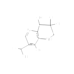 Cc1c(C(C)S)cnc2c1NCC(C)(C)C2O